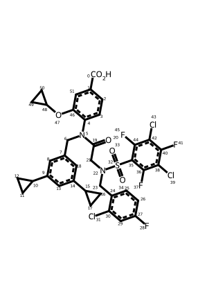 O=C(O)c1ccc(N(Cc2cc(C3CC3)cc(C3CC3)c2)C(=O)CN(Cc2ccc(F)cc2Cl)S(=O)(=O)c2c(F)c(Cl)c(F)c(Cl)c2F)c(OC2CC2)c1